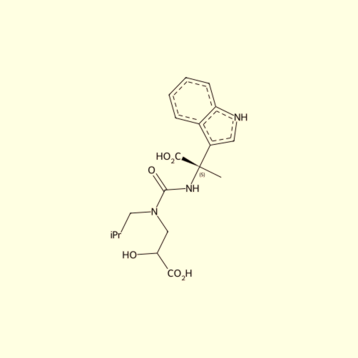 CC(C)CN(CC(O)C(=O)O)C(=O)N[C@](C)(C(=O)O)c1c[nH]c2ccccc12